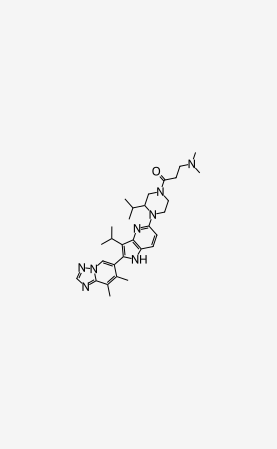 Cc1c(-c2[nH]c3ccc(N4CCN(C(=O)CCN(C)C)CC4C(C)C)nc3c2C(C)C)cn2ncnc2c1C